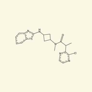 CC(C(=O)N(C)C1CC(Nc2nc3ccccc3s2)C1)c1nccnc1Cl